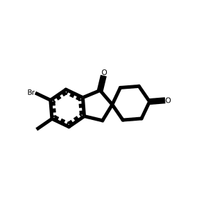 Cc1cc2c(cc1Br)C(=O)C1(CCC(=O)CC1)C2